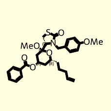 C=CCCC[C@@H]1C[C@@H](OC(=O)c2ccccc2)C[C@](OC)([C@@H]2CSC(=O)N2Cc2ccc(OC)cc2)O1